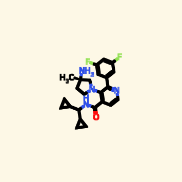 C[C@]1(N)CCN(c2c(C(=O)NC(C3CC3)C3CC3)ccnc2-c2cc(F)cc(F)c2)C1